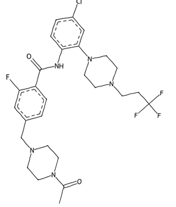 CC(=O)N1CCN(Cc2ccc(C(=O)Nc3ccc(Cl)cc3N3CCN(CCC(F)(F)F)CC3)c(F)c2)CC1